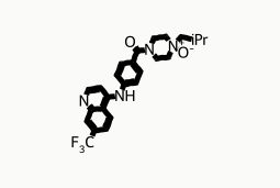 CC(C)C[N+]1([O-])CCN(C(=O)c2ccc(Nc3ccnc4cc(C(F)(F)F)ccc34)cc2)CC1